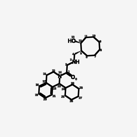 O=C(CNC[C@H]1CCCCCC[C@H]1O)N1CCc2ccccc2C1C1CCCCC1